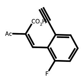 C#Cc1cccc(F)c1C=C(C(C)=O)C(=O)O